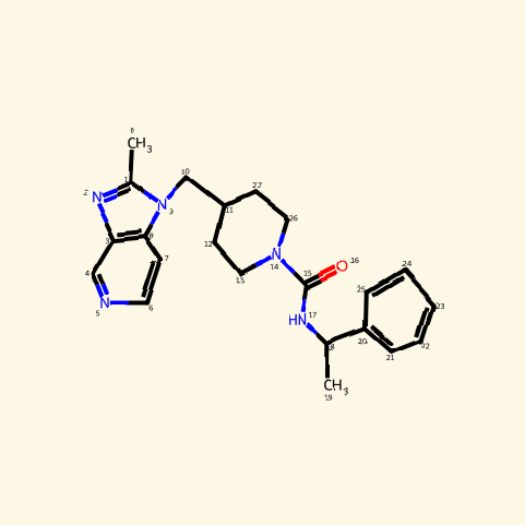 Cc1nc2cnccc2n1CC1CCN(C(=O)NC(C)c2ccccc2)CC1